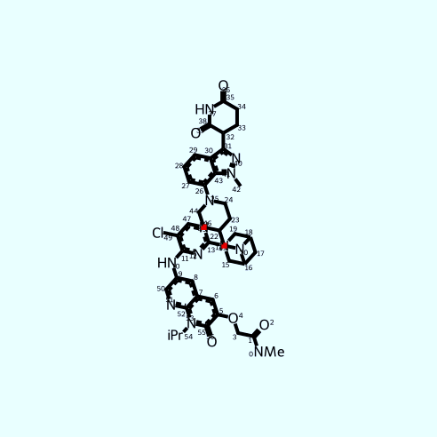 CNC(=O)COc1cc2cc(Nc3nc(N4CC5CC(C4)N5CC4CCN(c5cccc6c(C7CCC(=O)NC7=O)nn(C)c56)CC4)ncc3Cl)cnc2n(C(C)C)c1=O